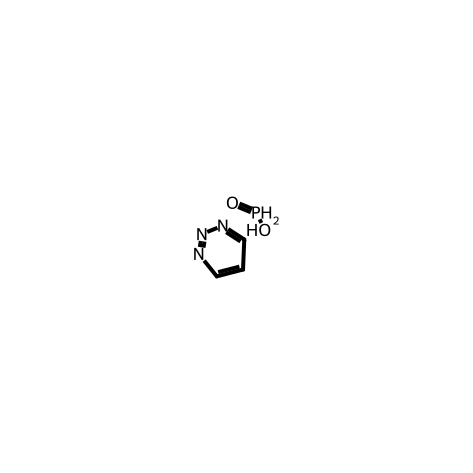 O=[PH2]O.c1cnnnc1